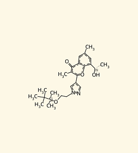 Cc1cc([C@H](C)O)c2oc(-c3cnn(CCO[Si](C)(C)C(C)(C)C)c3)c(C)c(=O)c2c1